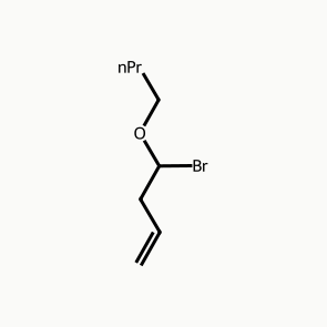 C=CCC(Br)OCCCC